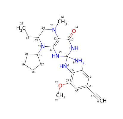 C#Cc1ccc(NC2(N)NC(=O)C3=C(N2)N(C2CCCC2)C(CC)CN3C)c(OC)c1